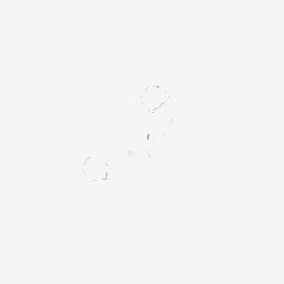 CC(=NNC(=S)NCc1ccccc1C)c1ccccn1